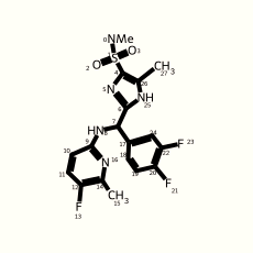 CNS(=O)(=O)c1nc(C(Nc2ccc(F)c(C)n2)c2ccc(F)c(F)c2)[nH]c1C